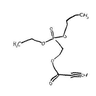 C#CC(=O)OCP(=O)(OCC)OCC